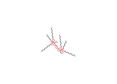 CCCCCCCCOC(CCCCCC)(OCCCCCCCC)C(CC)OCOCOC(CC)C(CCCCCC)(OCCCCCCCC)OCCCCCCCC